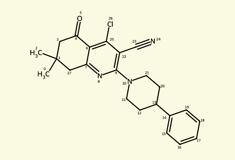 CC1(C)CC(=O)c2c(nc(N3CCC(c4ccccc4)CC3)c(C#N)c2Cl)C1